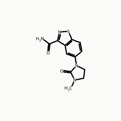 CN1CCN(c2ccc3snc(C(N)=O)c3c2)C1=O